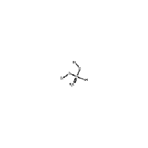 C=P(S)(OCC)OCC